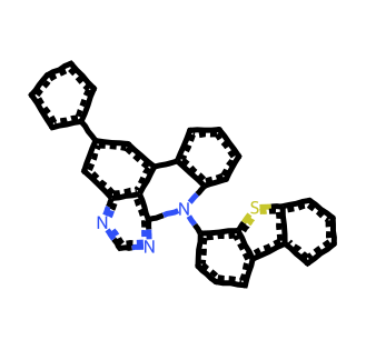 c1ccc(-c2cc3c4c(ncnc4c2)N(c2cccc4c2sc2ccccc24)c2ccccc2-3)cc1